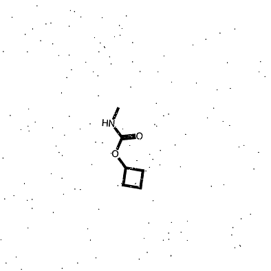 CNC(=O)OC1[CH]CC1